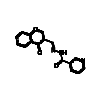 O=C(NN=Cc1coc2ccccc2c1=O)c1cccnc1